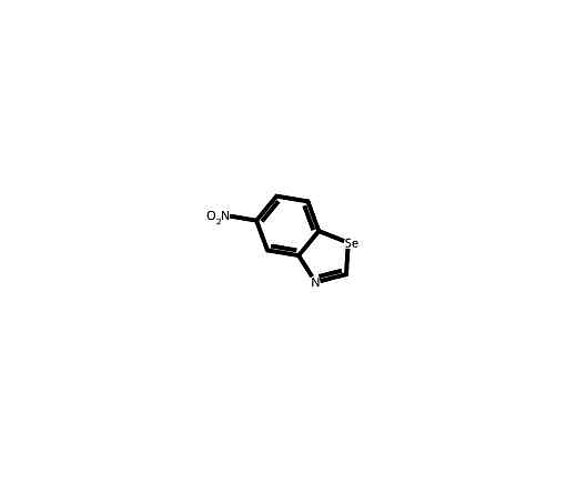 O=[N+]([O-])c1ccc2[se]cnc2c1